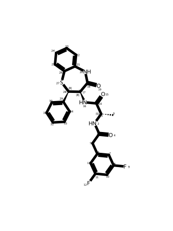 C[C@H](NC(=O)Cc1cc(F)cc(F)c1)C(=O)N[C@@H]1C(=O)Nc2ccccc2S[C@@H]1c1ccccc1